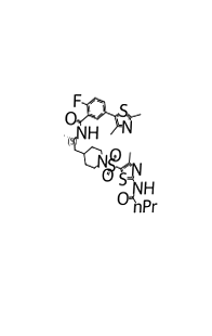 CCCC(=O)Nc1nc(C)c(S(=O)(=O)N2CCC(C[C@H](C)NC(=O)c3cc(-c4sc(C)nc4C)ccc3F)CC2)s1